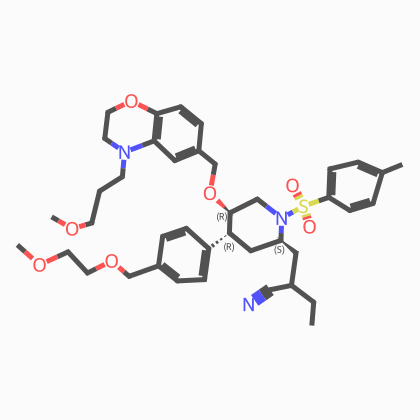 CCC(C#N)C[C@H]1C[C@H](c2ccc(COCCOC)cc2)[C@@H](OCc2ccc3c(c2)N(CCCOC)CCO3)CN1S(=O)(=O)c1ccc(C)cc1